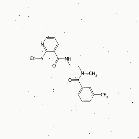 CCSc1ncccc1C(=O)NCCN(C)C(=O)c1cccc(C(F)(F)F)c1